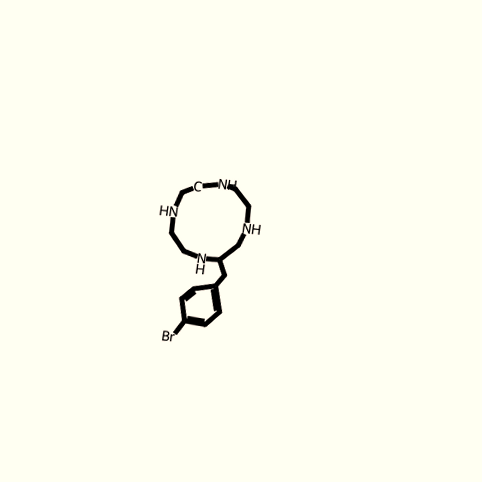 Brc1ccc(CC2CNCCNCCNCCN2)cc1